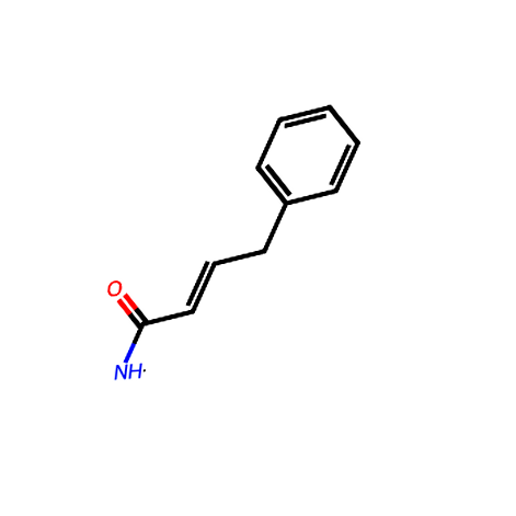 [NH]C(=O)/C=C/Cc1ccccc1